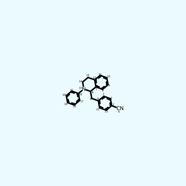 N#Cc1ccc(CC2c3ccccc3CCN2c2ccccc2)cc1